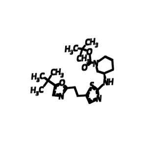 CC(C)(C)OC(=O)N1CCC[C@@H](Nc2ncc(CCc3ncc(C(C)(C)C)o3)s2)C1